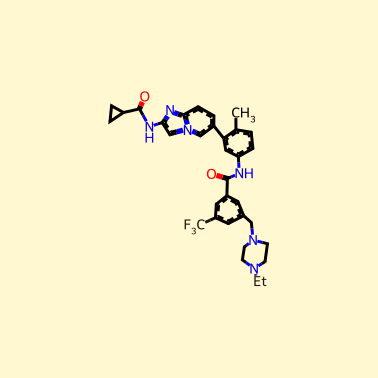 CCN1CCN(Cc2cc(C(=O)Nc3ccc(C)c(-c4ccc5nc(NC(=O)C6CC6)cn5c4)c3)cc(C(F)(F)F)c2)CC1